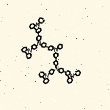 c1ccc(N(c2ccc(-c3ccc(N(c4ccc(-c5ccc6c(c5)c5ccccc5n6-c5ccccc5)cc4)c4ccc(-n5c6ccccc6c6ccccc65)cc4)cc3)cc2)c2ccc(-c3ccc(N(c4ccc(-c5ccc6c(c5)c5ccccc5n6-c5ccccc5)cc4)c4ccc(-n5c6ccccc6c6ccccc65)cc4)cc3)cc2)cc1